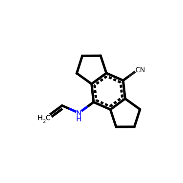 C=CNc1c2c(c(C#N)c3c1CCC3)CCC2